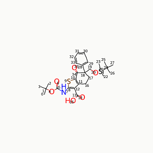 CC(C)(C)OC(=O)Nc1sc2c(c1C(=O)O)CCC(CO[Si](C)(C)C(C)(C)C)(c1ccccc1)C2=O